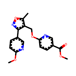 COC(=O)c1ccc(OCc2c(-c3ccc(OC)nc3)noc2C)nc1